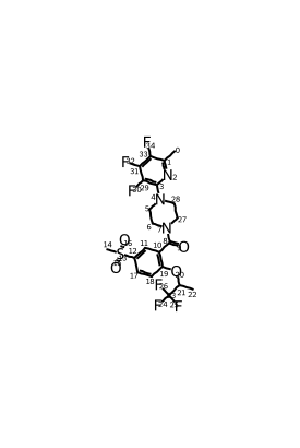 Cc1nc(N2CCN(C(=O)c3cc(S(C)(=O)=O)ccc3OC(C)C(F)(F)F)CC2)c(F)c(F)c1F